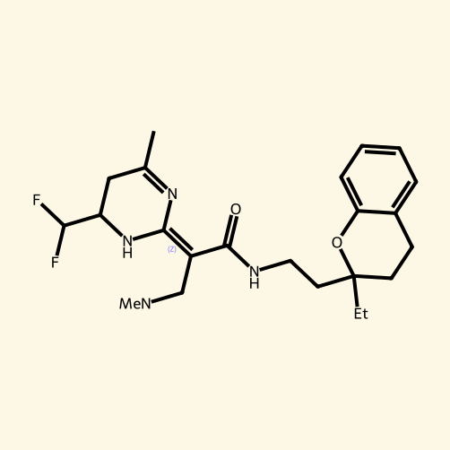 CCC1(CCNC(=O)/C(CNC)=C2\N=C(C)CC(C(F)F)N2)CCc2ccccc2O1